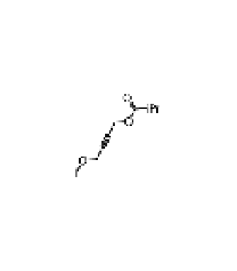 CC(C)C(=O)OCC#CCOI